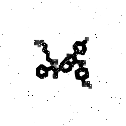 CCCCCN[C@H](C(=O)N1CCn2c(nc(-c3ccc(F)cc3)c2Nc2ccc(C)cc2)C1)c1ccccc1